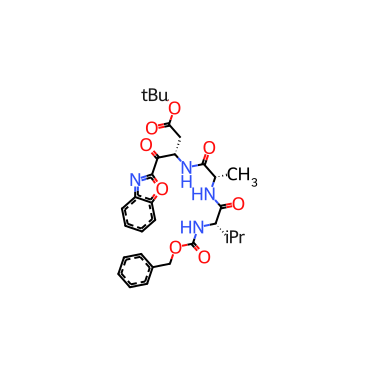 CC(C)[C@H](NC(=O)OCc1ccccc1)C(=O)N[C@@H](C)C(=O)N[C@@H](CC(=O)OC(C)(C)C)C(=O)c1nc2ccccc2o1